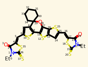 CCN1C(=O)/C(=C/c2cc3c(s2)-c2sc4cc(/C=C5\SC(=S)N(CC)C5=O)sc4c2OC32CCCCC2)SC1=S